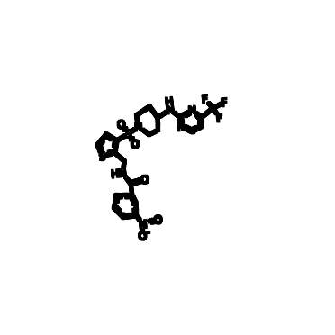 O=C(NCc1sccc1S(=O)(=O)N1CCC(Nc2nccc(C(F)(F)F)n2)CC1)c1cccc([N+](=O)[O-])c1